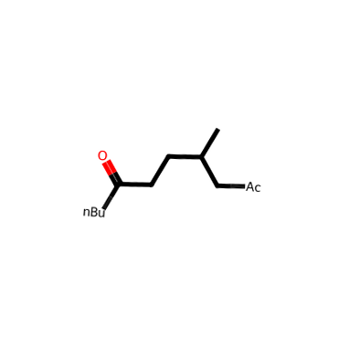 CCCCC(=O)CCC(C)CC(C)=O